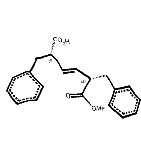 COC(=O)[C@H](C=C[C@H](Cc1ccccc1)C(=O)O)Cc1ccccc1